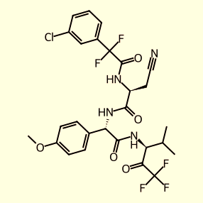 COc1ccc([C@H](NC(=O)[C@H](CC#N)NC(=O)C(F)(F)c2cccc(Cl)c2)C(=O)N[C@H](C(=O)C(F)(F)F)C(C)C)cc1